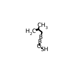 C=C(C)CB=BOS